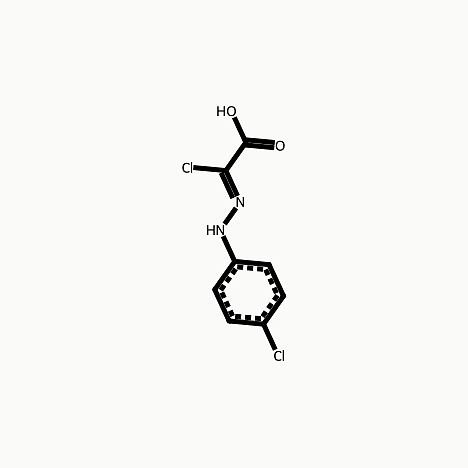 O=C(O)C(Cl)=NNc1ccc(Cl)cc1